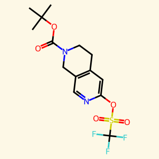 CC(C)(C)OC(=O)N1CCc2cc(OS(=O)(=O)C(F)(F)F)ncc2C1